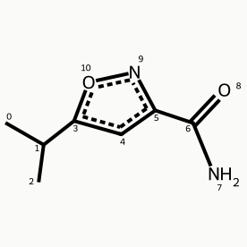 CC(C)c1cc(C(N)=O)no1